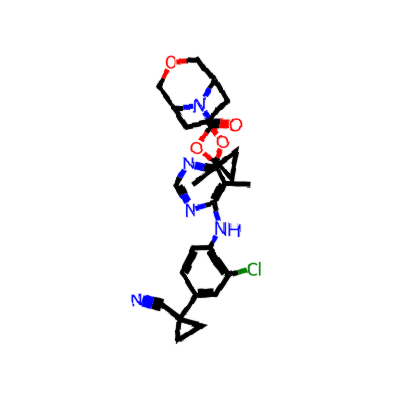 Cc1c(Nc2ccc(C3(C#N)CC3)cc2Cl)ncnc1OC1CC2COCC(C1)N2C(=O)OC1(C)CC1